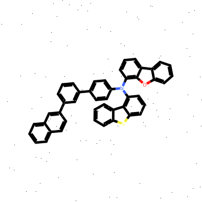 c1cc(-c2ccc(N(c3cccc4c3oc3ccccc34)c3cccc4sc5ccccc5c34)cc2)cc(-c2ccc3ccccc3c2)c1